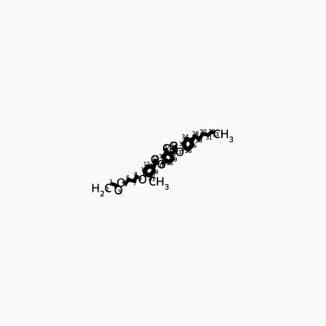 C=CC(=O)OCCCCOc1ccc(C(=O)Oc2ccc(C(=O)Oc3ccc(CCCCCC)cc3)c(Cl)c2)cc1C